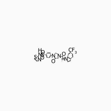 C[C@H](C(=O)N1CCN(c2ccc(S(=O)(=O)Nc3nccs3)cc2)C(=O)C1)n1ccc2ccc(C(F)(F)F)cc21